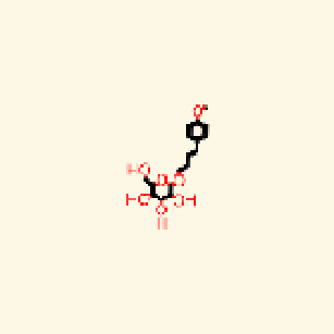 COc1ccc(CCCCOC2OC(CO)C(O)C(O)C2O)cc1